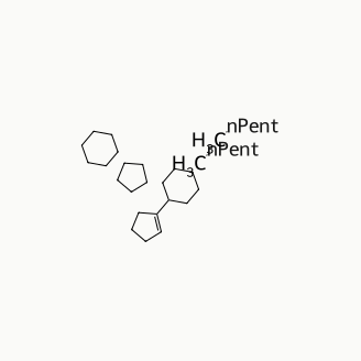 C1=C(C2CCCCC2)CCC1.C1CCCC1.C1CCCCC1.CCCCCC.CCCCCC